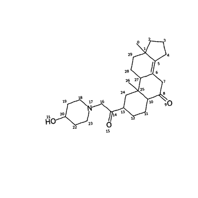 CC12CCCC1=C1CC(=O)C3CCC(C(=O)CN4CCC(O)CC4)CC3(C)C1CC2